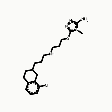 Cn1c(N)nnc1SCCCNCCCC1CCc2cccc(Cl)c2C1